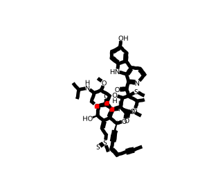 CC#C/C=C\C#C[C@H](OC1OC(C)C(SC)(C(=O)c2nccc3c2[nH]c2ccc(O)cc23)C(O)C1OC1CC(OC)C(NC(C)C)CO1)C1=C(NC(=O)OC)C(=O)C[C@H](O)/C1=C/CS(C)=S